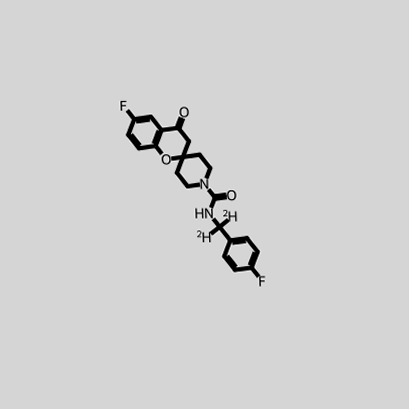 [2H]C([2H])(NC(=O)N1CCC2(CC1)CC(=O)c1cc(F)ccc1O2)c1ccc(F)cc1